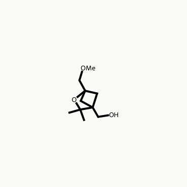 COCC12CC(CO)(C1)C(C)(C)O2